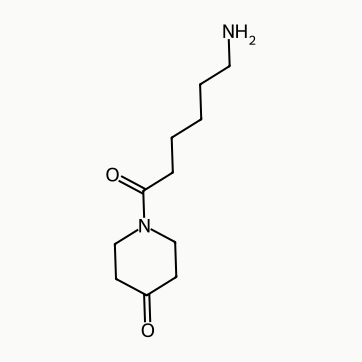 NCCCCCC(=O)N1CCC(=O)CC1